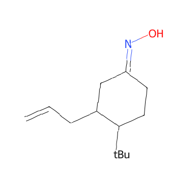 C=CCC1C/C(=N/O)CCC1C(C)(C)C